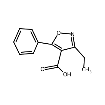 CCc1noc(-c2ccccc2)c1C(=O)O